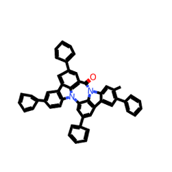 Cc1cc2c(cc1-c1ccccc1)c1cc(-c3ccccc3)cc3c1n2c(=O)c1cc(-c2ccccc2)cc2c4cc(-c5ccccc5)ccc4n3c12